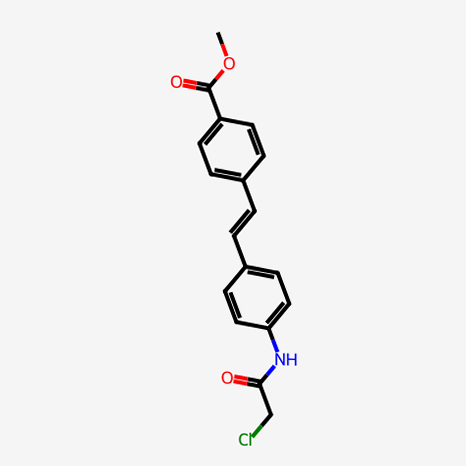 COC(=O)c1ccc(C=Cc2ccc(NC(=O)CCl)cc2)cc1